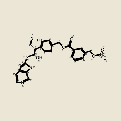 NC[C@H](c1ccc(COC(=O)c2cccc(CO[N+](=O)[O-])c2)cc1)[C@H](O)Nc1cc2ccncc2s1